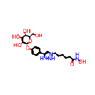 O=C(CCCCCN1C=C(c2ccc(O[C@H]3O[C@H](CO)[C@@H](O)[C@H](O)[C@@H]3O)cc2)NN1)NO